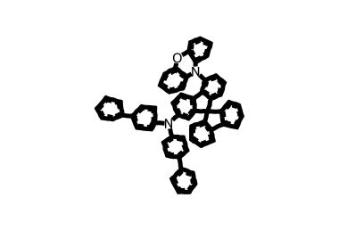 c1ccc(-c2ccc(N(c3ccc(-c4ccccc4)cc3)c3ccc4c(c3)C3(c5ccccc5-c5ccccc53)c3cccc(N5c6ccccc6Oc6ccccc65)c3-4)cc2)cc1